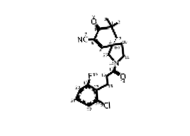 CC1(C)C[C@]2(C=C(C#N)C1=O)CCN(C(=O)CCc1c(F)cccc1Cl)C2